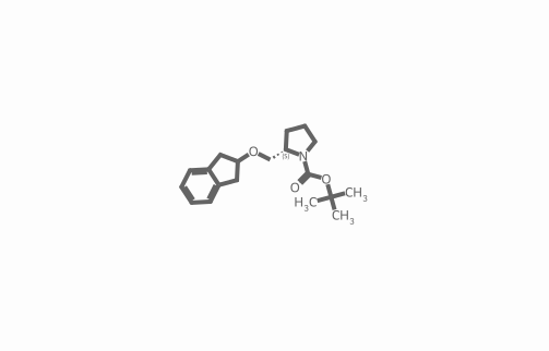 CC(C)(C)OC(=O)N1CCC[C@H]1COC1Cc2ccccc2C1